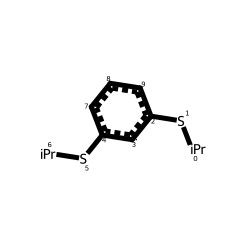 CC(C)Sc1[c]c(SC(C)C)ccc1